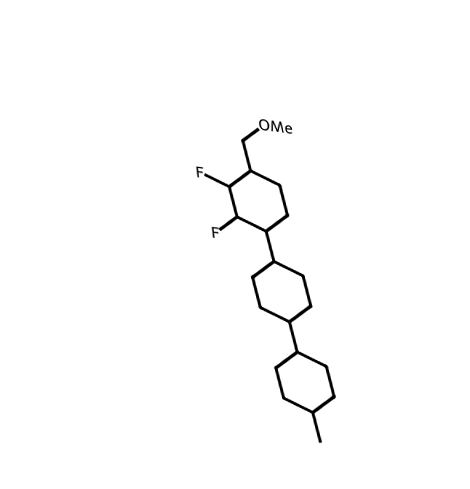 COCC1CCC(C2CCC(C3CCC(C)CC3)CC2)C(F)C1F